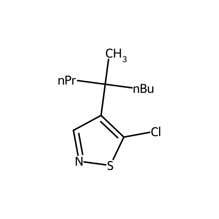 CCCCC(C)(CCC)c1cnsc1Cl